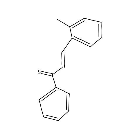 Cc1ccccc1C=CC(=S)c1ccccc1